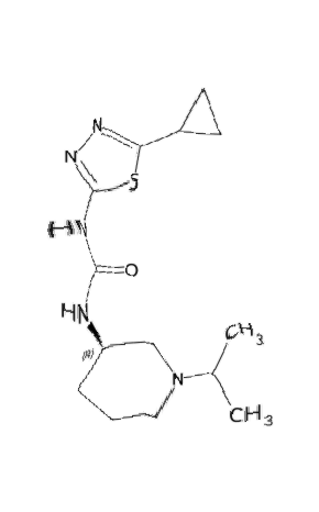 CC(C)N1CCC[C@@H](NC(=O)Nc2nnc(C3CC3)s2)C1